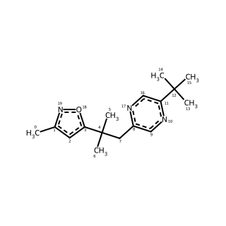 Cc1cc(C(C)(C)Cc2cnc(C(C)(C)C)cn2)on1